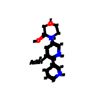 CC(=O)Nc1cc(N2CCOCC2=O)cnc1-c1cccnc1